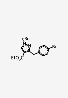 CCCCn1cc(C(=O)OCC)c(Cc2ccc(Br)cc2)n1